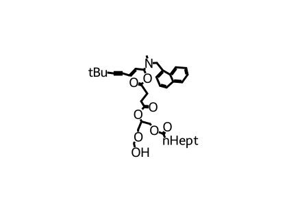 CCCCCCCC(=O)OCC(COCO)OC(=O)CCC(=O)OC(/C=C/C#CC(C)(C)C)N(C)Cc1cccc2ccccc12